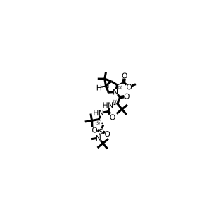 COC(=O)[C@@H]1C2[C@H](CN1C(=O)[C@@H](NC(=O)N[C@H](CS(=O)(=O)N(C)C(C)(C)C)C(C)(C)C)C(C)(C)C)C2(C)C